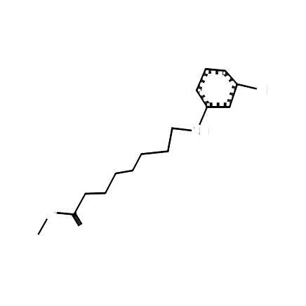 COC(=O)CCCCCCCNc1cccc(Cl)c1